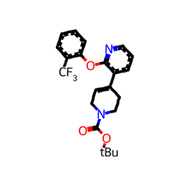 CC(C)(C)OC(=O)N1CC=C(c2cccnc2Oc2ccccc2C(F)(F)F)CC1